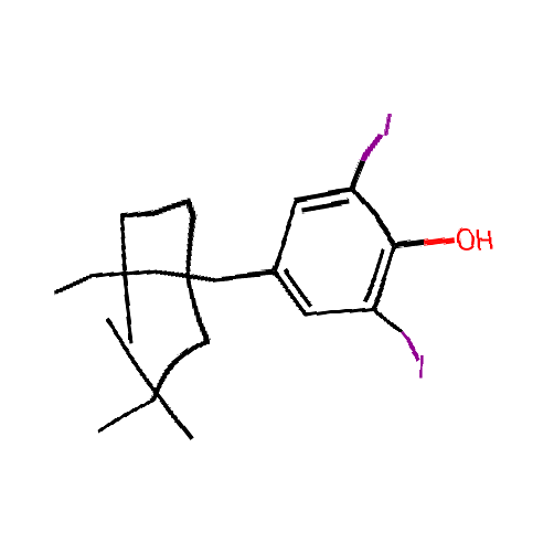 CC(C)(C)CC1(c2cc(I)c(O)c(I)c2)CCC1(C)C